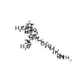 CNCCCOCCOCCOCCCNC(=O)C(CCC(=O)OC)NC(=O)C1CCCN1C(C)=O